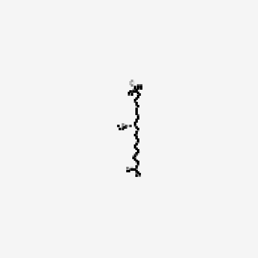 O=C([O-])CCCCCCCCCCCCCS(=O)(=O)[O-].[Na+].[Na+]